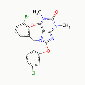 Cn1c(=O)c2c(nc(Oc3cccc(Cl)c3)n2Cc2cccc(Br)c2)n(C)c1=O